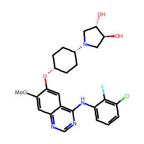 COc1cc2ncnc(Nc3cccc(Cl)c3F)c2cc1O[C@H]1CC[C@@H](N2C[C@H](O)[C@@H](O)C2)CC1